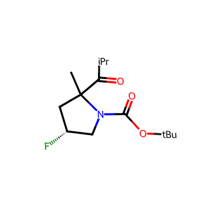 CC(C)C(=O)C1(C)C[C@@H](F)CN1C(=O)OC(C)(C)C